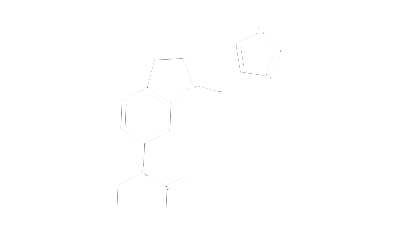 CCN(C(C)=O)c1ccc2c(c1)N(Cc1c[nH]cn1)CC2